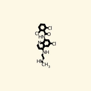 CNCCNc1ccnc2c(NC(=O)c3c(Cl)cccc3Cl)cc(Cl)cc12